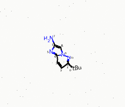 CC(C)(C)c1ccc2nc(N)cn2n1